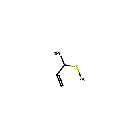 C=CC(CCC)SC(C)=O